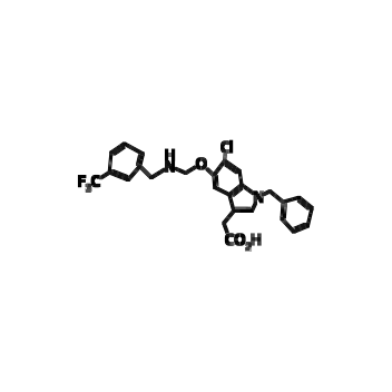 O=C(O)Cc1cn(Cc2ccccc2)c2cc(Cl)c(OCNCc3cccc(C(F)(F)F)c3)cc12